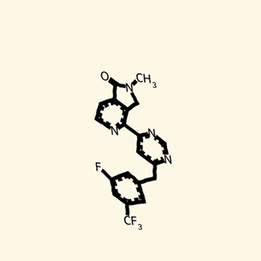 CN1Cc2c(ccnc2-c2cc(Cc3cc(F)cc(C(F)(F)F)c3)ncn2)C1=O